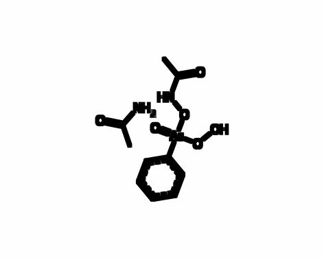 CC(=O)NO[As](=O)(OO)c1ccccc1.CC(N)=O